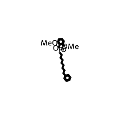 COc1cccc(OC)c1C(=O)[PH](=O)CCCCCCCCCc1ccccc1